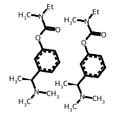 CCN(C)C(=O)Oc1cccc([C@H](C)N(C)C)c1.CCN(C)C(=O)Oc1cccc([C@H](C)N(C)C)c1